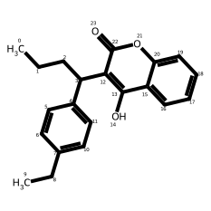 CCCC(c1ccc(CC)cc1)c1c(O)c2ccccc2oc1=O